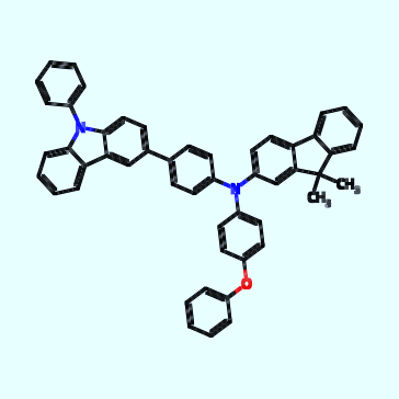 CC1(C)c2ccccc2-c2ccc(N(c3ccc(Oc4ccccc4)cc3)c3ccc(-c4ccc5c(c4)c4ccccc4n5-c4ccccc4)cc3)cc21